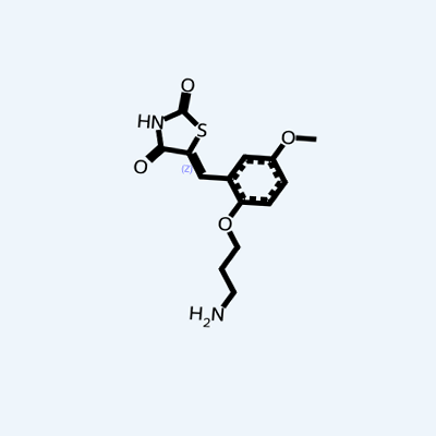 COc1ccc(OCCCN)c(/C=C2\SC(=O)NC2=O)c1